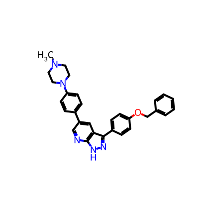 CN1CCN(c2ccc(-c3cnc4[nH]nc(-c5ccc(OCc6ccccc6)cc5)c4c3)cc2)CC1